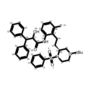 CC(C)(C)N1CCN(S(=O)(=O)c2ccccc2)[C@@H](CCc2c(F)cccc2NC(=O)C(O)C(c2ccccc2)c2ccccc2)C1